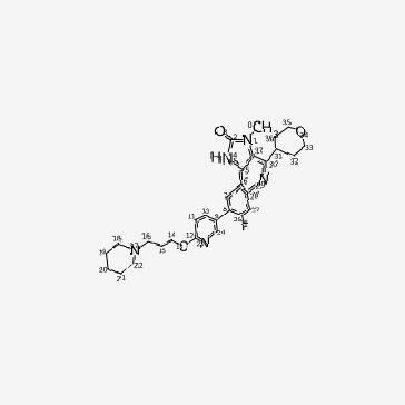 Cn1c(=O)[nH]c2c3cc(-c4ccc(OCCCN5CCCCC5)nc4)c(F)cc3nc(C3CCOCC3)c21